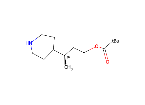 C[C@H](CCOC(=O)C(C)(C)C)C1CCNCC1